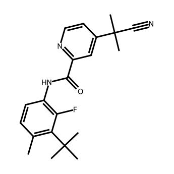 Cc1ccc(NC(=O)c2cc(C(C)(C)C#N)ccn2)c(F)c1C(C)(C)C